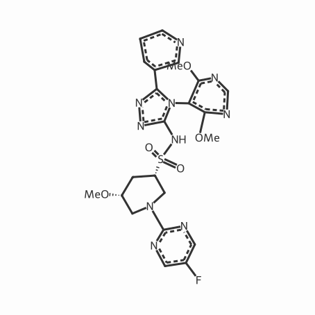 COc1ncnc(OC)c1-n1c(NS(=O)(=O)[C@H]2C[C@@H](OC)CN(c3ncc(F)cn3)C2)nnc1-c1cccnc1